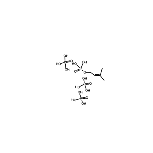 CC(C)=CCOP(=O)(O)O.O=P(O)(O)O.O=P(O)(O)O.O=P(O)(O)O